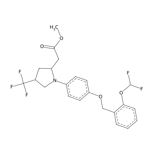 COC(=O)CC1CC(C(F)(F)F)CN1c1ccc(OCc2ccccc2OC(F)F)cc1